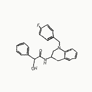 O=C(NC1Cc2ccccc2N(Cc2ccc(F)cc2)C1)C(O)c1ccccc1